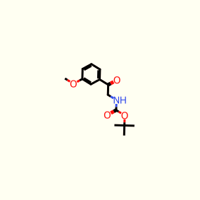 COc1cccc(C(=O)CNC(=O)OC(C)(C)C)c1